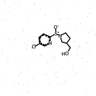 [O-][S+](c1ccc(Cl)cn1)N1CCC(CO)C1